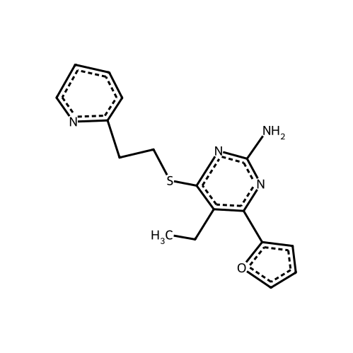 CCc1c(SCCc2ccccn2)nc(N)nc1-c1ccco1